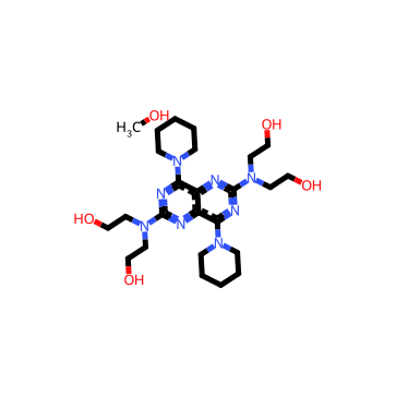 CO.OCCN(CCO)c1nc(N2CCCCC2)c2nc(N(CCO)CCO)nc(N3CCCCC3)c2n1